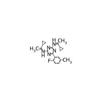 Cc1ccc(F)c(-c2nc(N[C@H](C)C3CC3)nc(N[C@H](C)C3CC3)n2)c1